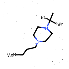 CCCC(C)(CC)N1CCN(CCCNC)CC1